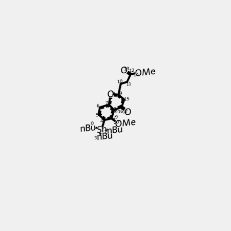 CCC[CH2][Sn]([CH2]CCC)([CH2]CCC)[c]1ccc2oc(CCC(=O)OC)cc(=O)c2c1OC